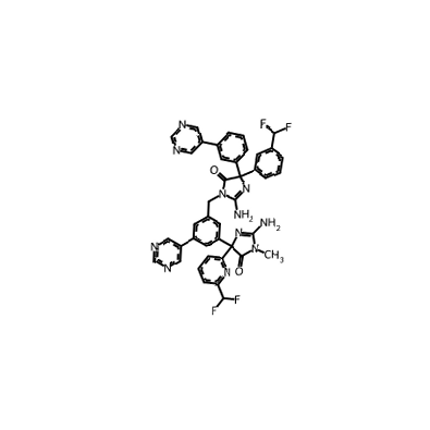 CN1C(=O)C(c2cc(CN3C(=O)C(c4cccc(-c5cncnc5)c4)(c4cccc(C(F)F)c4)N=C3N)cc(-c3cncnc3)c2)(c2cccc(C(F)F)n2)N=C1N